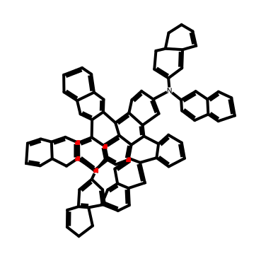 C1=CC2=CC=C(N(c3ccc4c(c3)C=CCC4)c3ccc4c(-c5ccccc5-c5ccc6ccccc6c5)c5cc(N(C6=CCC7CCC=CC7=C6)c6ccc7ccccc7c6)ccc5c(-c5cc6ccccc6cc5-c5ccccc5)c4c3)CC2C=C1